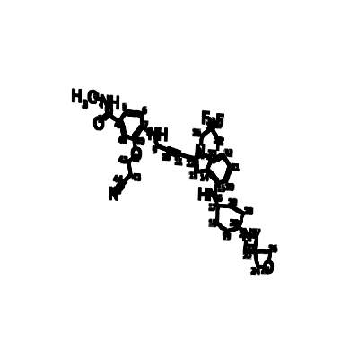 CNC(=O)c1ccc(NCC#Cc2cc3c(N[C@H]4CC[C@H](N5CC6(COC6)C5)CC4)cccc3n2CC(F)(F)F)c(OCCC#N)c1